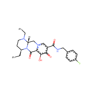 CC(C)C[C@H]1CCN(CC(C)C)[C@@H]2Cn3cc(C(=O)NCc4ccc(F)cc4)c(=O)c(O)c3C(=O)N12